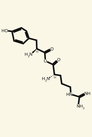 N=C(N)NCCC[C@H](N)C(=O)OC(=O)[C@@H](N)Cc1ccc(O)cc1